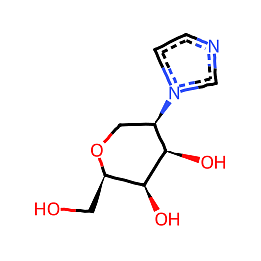 OC[C@H]1OC[C@@H](n2ccnc2)[C@@H](O)[C@H]1O